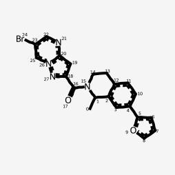 CC1c2cc(-c3ccco3)ccc2CCN1C(=O)c1cc2ncc(Br)cn2n1